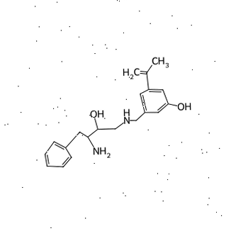 C=C(C)c1cc(O)cc(CNCC(O)C(N)Cc2ccccc2)c1